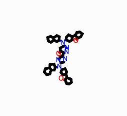 c1ccc2cc(N(c3ccc4c(c3)oc3ccccc34)c3cc4oc5nc(N(c6ccc7ccccc7c6)c6ccc7c(c6)oc6ccccc67)cnc5c4nn3)ccc2c1